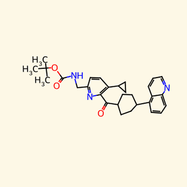 CC(C)(C)OC(=O)NCc1ccc(C2CC2)c(C(=O)C2CCC(c3cccc4ncccc34)CC2)n1